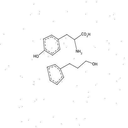 NC(Cc1ccc(O)cc1)C(=O)O.OCCCc1ccccc1